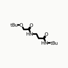 CC(C)(C)NC(=O)CCNC(=O)COC(C)(C)C